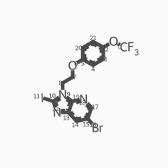 FC(F)(F)Oc1ccc(OCCn2c(I)nc3cc(Br)cnc32)cc1